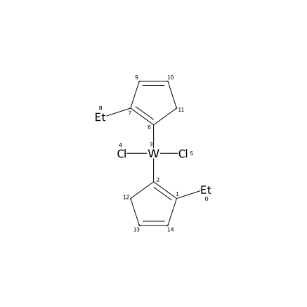 CCC1=[C]([W]([Cl])([Cl])[C]2=C(CC)C=CC2)CC=C1